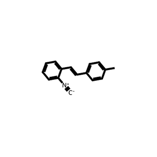 [C-]#[N+]c1ccccc1C=Cc1ccc(C)cc1